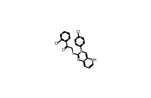 O=C(CSC1=NC2=CC=CNC2=CN1c1ccc(Cl)cc1)c1ccccc1Cl